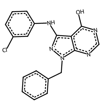 Oc1ncnc2c1c(Nc1cccc(Cl)c1)nn2Cc1ccccc1